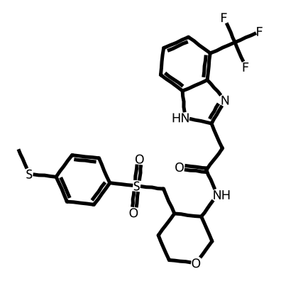 CSc1ccc(S(=O)(=O)CC2CCOCC2NC(=O)Cc2nc3c(C(F)(F)F)cccc3[nH]2)cc1